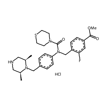 COC(=O)c1ccc(CN(C(=O)N2CCSCC2)c2ccc(CN3[C@H](C)CNC[C@@H]3C)cc2)c(F)c1.Cl